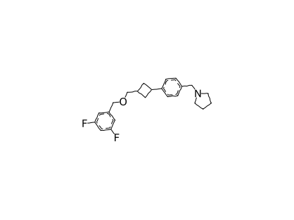 Fc1cc(F)cc(COCC2CC(c3ccc(CN4CCCC4)cc3)C2)c1